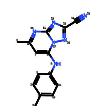 Cc1ccc(Nc2cc(C)nc3nc(C#N)nn23)cc1